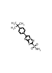 CC(C)(C)c1ccc(-c2cn3nc(S(N)(=O)=O)sc3n2)cc1